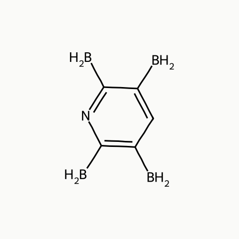 Bc1cc(B)c(B)nc1B